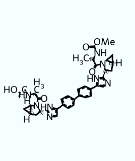 COC(=O)N[C@@H](C)C(=O)N1C2C[C@H]2C[C@H]1c1ncc(-c2ccc(-c3ccc(-c4cnc([C@@H]5C[C@@H]6C[C@@H]6N5C(=O)[C@H](C)NC(=O)O)[nH]4)cc3)cc2)[nH]1